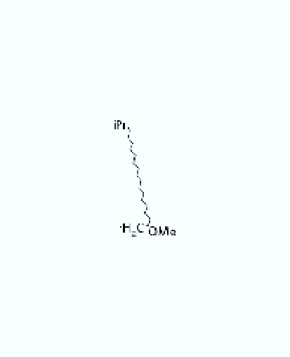 [CH2]C(CCCCCCCCCCCCCCCC(C)C)OC